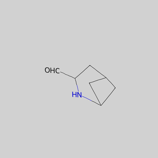 O=CC1CC2CC(C2)N1